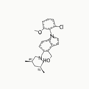 COc1cccc(Cl)c1-n1ccc2c(CO)c(N3C[C@H](C)C[C@H](C)C3)ccc21